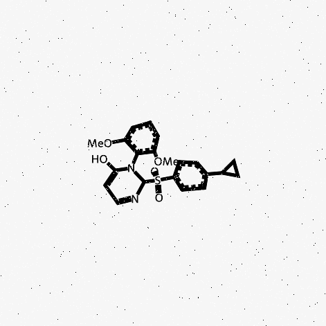 COc1cccc(OC)c1N1C(O)=CC=NC1S(=O)(=O)c1ccc(C2CC2)cc1